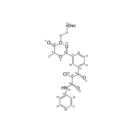 CCCCCCCCCCCCOC(=O)C(C)OC(=O)c1cccc(C(=O)C(Cl)C(=O)Nc2ccccc2)c1